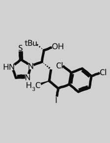 C[C@@H](C[C@@H]([C@@H](O)C(C)(C)C)n1nc[nH]c1=S)C(I)c1ccc(Cl)cc1Cl